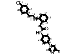 Cc1cn(-c2ccc(NC(=O)Cc3ccccc3NCCc3ccc(Cl)cc3)cc2)cn1